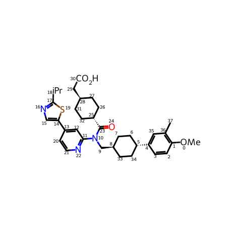 COc1ccc([C@H]2CC[C@H](CN(c3cc(-c4cnc(C(C)C)s4)ccn3)C(=O)[C@H]3CC[C@H](CC(=O)O)CC3)CC2)cc1C